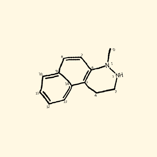 CN1NCCc2c1ccc1ccccc21